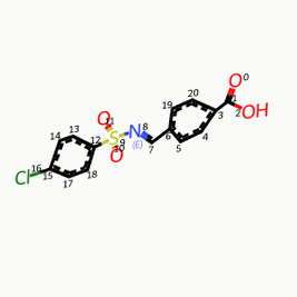 O=C(O)c1ccc(/C=N/S(=O)(=O)c2ccc(Cl)cc2)cc1